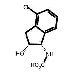 O=C(O)N[C@H]1c2cccc(Cl)c2C[C@H]1O